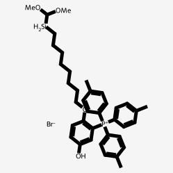 COC(OC)[SiH2]CCCCCCCCOc1ccc(O)cc1[P+](c1ccc(C)cc1)(c1ccc(C)cc1)c1ccc(C)cc1.[Br-]